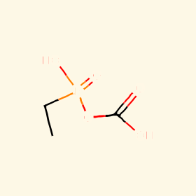 CCP(=O)(O)OC(=O)O